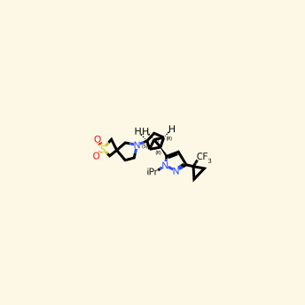 CC(C)n1nc(C2(C(F)(F)F)CC2)cc1[C@]12C3[C@@H](N4CCC5(C4)CS(=O)(=O)C5)C[C@@H]1[C@H]32